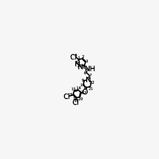 Clc1ccc(NCCN2CCC(Oc3ccc(Cl)c(Cl)c3)CC2)nn1